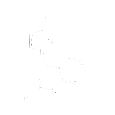 Cc1ccc(NC(=O)C(C)C)c(Cn2ccc(C(F)(F)F)n2)c1